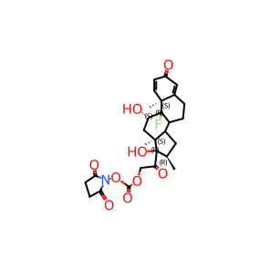 C[C@@H]1CC2C3CCC4=CC(=O)C=C[C@]4(C)[C@@]3(F)[C@@H](O)C[C@]2(C)[C@@]1(O)C(=O)COC(=O)ON1C(=O)CCC1=O